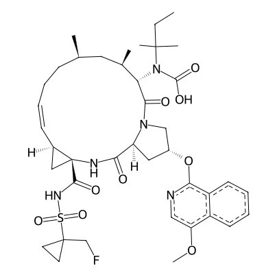 CCC(C)(C)N(C(=O)O)[C@@H]1C(=O)N2C[C@H](Oc3ncc(OC)c4ccccc34)C[C@H]2C(=O)N[C@]2(C(=O)NS(=O)(=O)C3(CF)CC3)C[C@H]2/C=C\CC[C@@H](C)C[C@H]1C